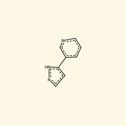 [c]1cc(-c2cccnc2)[nH]n1